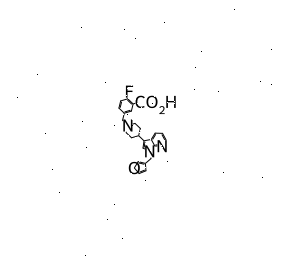 O=C(O)c1cc(CN2CCC(c3cn(Cc4ccoc4)c4ncccc34)CC2)ccc1F